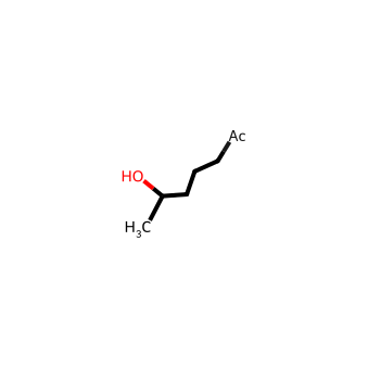 CC(=O)CCCC(C)O